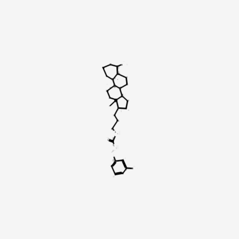 CC12CCC3C(CCC4C(F)CCC[C@@]43C)C1CCC2CCCNC(=O)NSc1cccc(F)c1